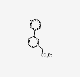 CCOC(=O)Cc1cccc(-c2cccnc2)c1